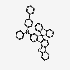 c1ccc(-c2ccc(N(c3ccccc3)c3ccc4c(c3)C3(c5ccccc5-c5ccccc53)c3ccc5c(oc6ccccc65)c3-4)cc2)cc1